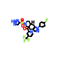 O=C(c1cc(C(F)(F)F)ccn1)[C@]12Cc3cnn(-c4ccc(F)cc4)c3C[C@@H]1CCN(S(=O)(=O)c1cn[nH]n1)C2